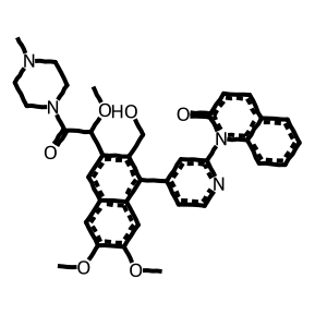 COc1cc2cc(C(OC)C(=O)N3CCN(C)CC3)c(CO)c(-c3ccnc(-n4c(=O)ccc5ccccc54)c3)c2cc1OC